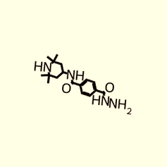 CC1(C)CC(NC(=O)c2ccc(C(=O)NN)cc2)CC(C)(C)N1